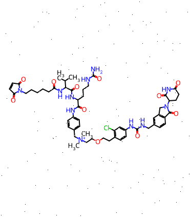 CC(C)C(NC(=O)CCCCCN1C(=O)C=CC1=O)C(=O)NC(CCCNC(N)=O)C(=O)Nc1ccc(C[N+](C)(C)CCOCCc2ccc(NC(=O)NCc3ccc4c(c3)CN(C3CCC(=O)NC3=O)C4=O)cc2Cl)cc1